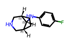 Fc1ccc(N[C@@H]2[C@@H]3CC[C@H]2CNC3)cc1